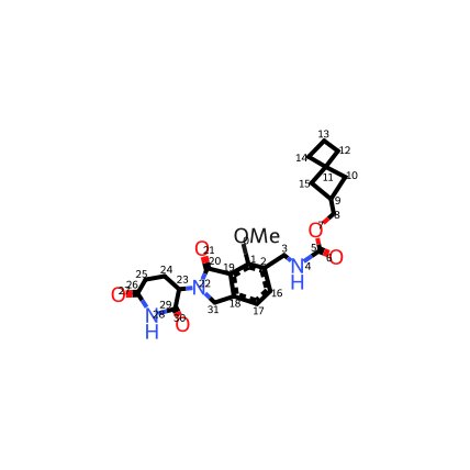 COc1c(CNC(=O)OCC2CC3(CCC3)C2)ccc2c1C(=O)N(C1CCC(=O)NC1=O)C2